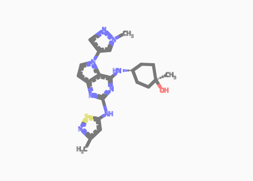 Cc1cc(Nc2nc(N[C@H]3CC[C@](C)(O)CC3)c3c(ccn3-c3cnn(C)c3)n2)sn1